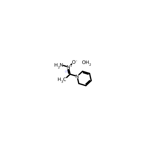 C/C(N1C=CC=CC1)=[N+](\N)[O-].O